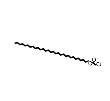 CCCCCCCCCCCCCCCCCCCCCCCCCCCCCCOC(=O)CCl